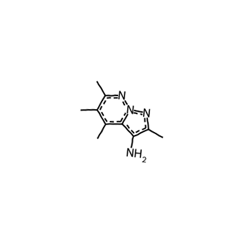 Cc1nn2nc(C)c(N)c2c(C)c1C